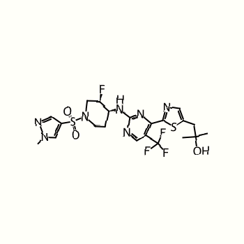 Cn1cc(S(=O)(=O)N2CC[C@H](Nc3ncc(C(F)(F)F)c(-c4ncc(CC(C)(C)O)s4)n3)[C@H](F)C2)cn1